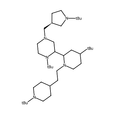 CC(C)(C)C1CCN(CCC2CCN(C(C)(C)C)CC2)C(C2CN(C[C@H]3CCN(C(C)(C)C)C3)CCN2C(C)(C)C)C1